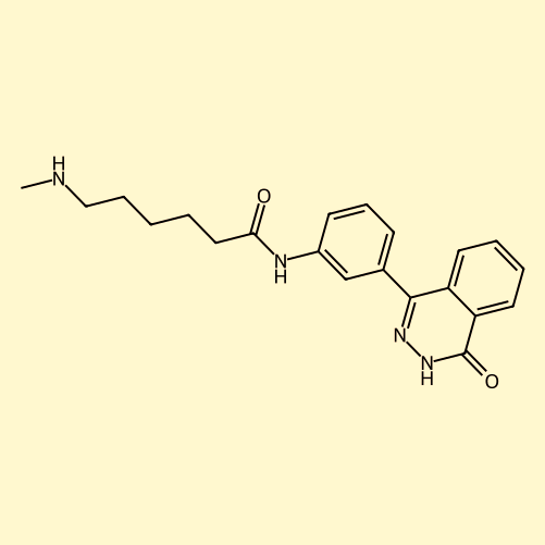 CNCCCCCC(=O)Nc1cccc(-c2n[nH]c(=O)c3ccccc23)c1